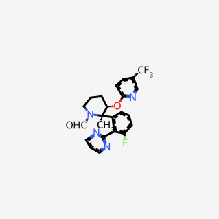 C[C@]1(c2cccc(F)c2-c2ncccn2)[C@H](Oc2ccc(C(F)(F)F)cn2)CCCN1C=O